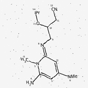 CNc1cc(N)n(C)c(=NCC(CC#N)OC(C)C)c1